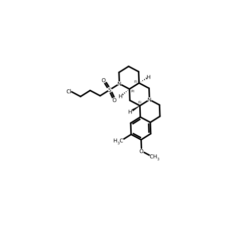 COc1cc2c(cc1C)[C@@H]1C[C@@H]3[C@@H](CCCN3S(=O)(=O)CCCCl)CN1CC2